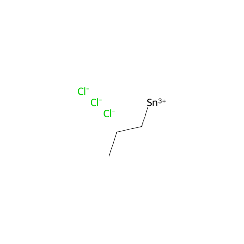 CC[CH2][Sn+3].[Cl-].[Cl-].[Cl-]